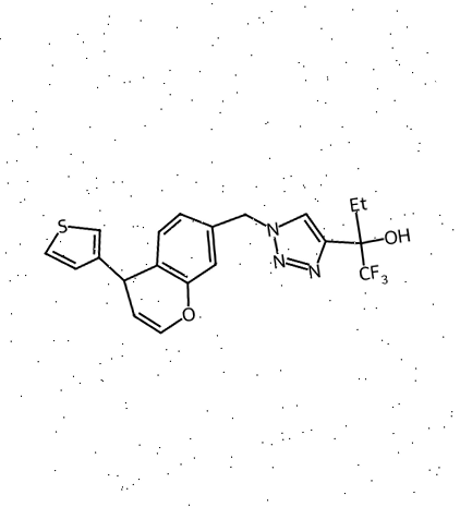 CCC(O)(c1cn(Cc2ccc3c(c2)OC=CC3c2ccsc2)nn1)C(F)(F)F